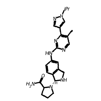 Cc1cnc(Nc2ccc3c(c2)CN[C@@H]3N2CCCC2C(N)=O)nc1-c1cnn(C(C)C)c1